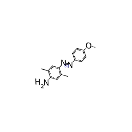 COc1ccc(/N=N/c2cc(C)c(N)cc2C)cc1